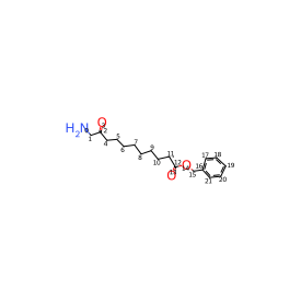 NCC(=O)CCCCCCC[CH]C(=O)OCc1ccccc1